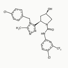 Cc1nnc([C@H]2C[C@@H](O)CN2C(=O)Nc2ccc(Cl)c(C(F)(F)F)c2)n1Cc1ccc(Cl)cc1